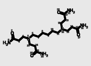 NC(=O)CCN(CCCCCCN(CCC(N)=O)CCC(N)=O)CCC(N)=O